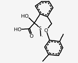 [CH2]SC(O)(C(=O)O)c1ccccc1COc1cc(C)ccc1C